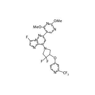 COc1ncc(-c2cc(N3CC(Oc4ccnc(C(F)(F)F)c4)C(F)(F)C3)c3ncc(F)n3n2)c(OC)n1